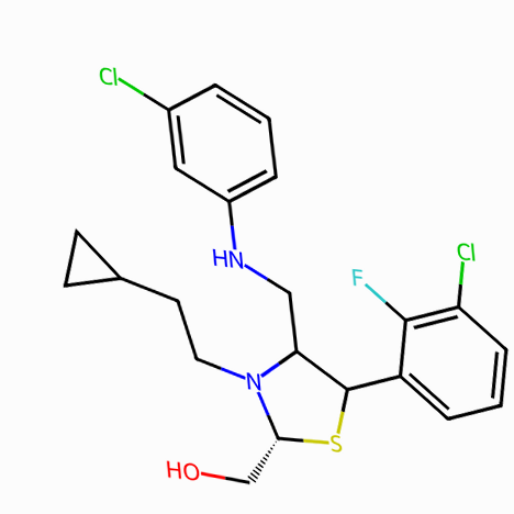 OC[C@H]1SC(c2cccc(Cl)c2F)C(CNc2cccc(Cl)c2)N1CCC1CC1